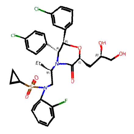 CC[C@H](CN(c1ccccc1F)S(=O)(=O)C1CC1)N1C(=O)[C@H](C[C@@H](O)CO)O[C@H](c2cccc(Cl)c2)[C@H]1c1ccc(Cl)cc1